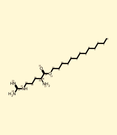 CCCCCCCCCCCCCOC(=O)[C@@H](N)CCCNC(=N)N